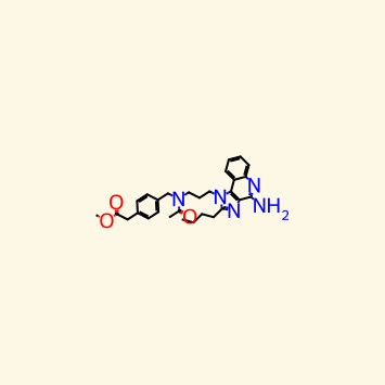 CCCCc1nc2c(N)nc3ccccc3c2n1CCCN(Cc1ccc(CC(=O)OC)cc1)C(C)=O